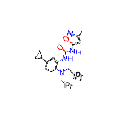 Cc1cc(NC(=O)Nc2cc(C3CC3)ccc2N(CC(C)C)CC(C)C)on1